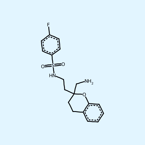 NCC1(CCNS(=O)(=O)c2ccc(F)cc2)CCc2ccccc2O1